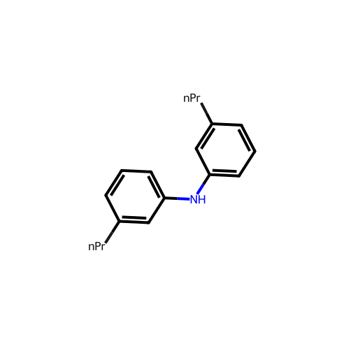 CCCc1cccc(Nc2cccc(CCC)c2)c1